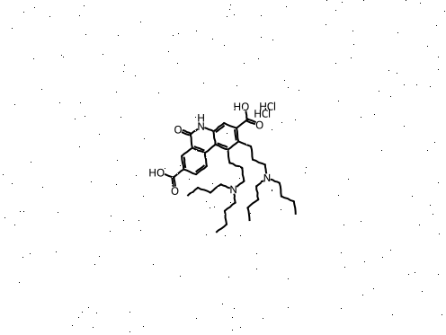 CCCCN(CCCC)CCCc1c(C(=O)O)cc2[nH]c(=O)c3cc(C(=O)O)ccc3c2c1CCCN(CCCC)CCCC.Cl.Cl